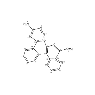 COc1cc(-c2nnc(N)nc2-c2ccccc2)cc2cccnc12